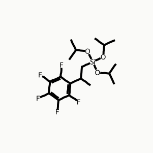 CC(C)O[Si](CC(C)c1c(F)c(F)c(F)c(F)c1F)(OC(C)C)OC(C)C